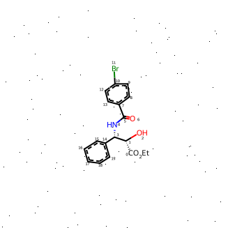 CCOC(=O)[C@@H](O)[C@@H](NC(=O)c1ccc(Br)cc1)c1ccccc1